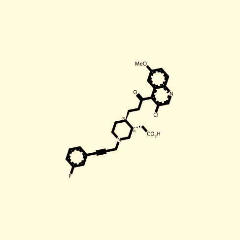 COc1ccc2ncc(Cl)c(C(=O)CC[C@@H]3CCN(CC#Cc4cccc(F)c4)C[C@H]3CC(=O)O)c2c1